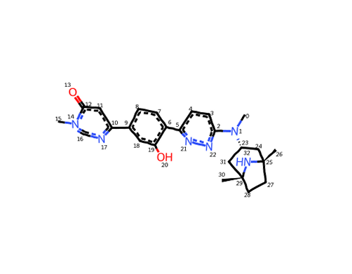 CN(c1ccc(-c2ccc(-c3cc(=O)n(C)cn3)cc2O)nn1)[C@@H]1C[C@]2(C)CC[C@](C)(C1)N2